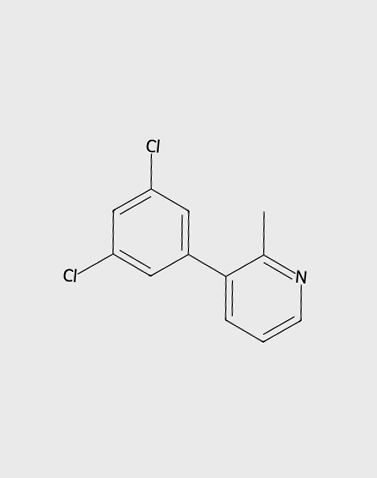 Cc1ncccc1-c1cc(Cl)cc(Cl)c1